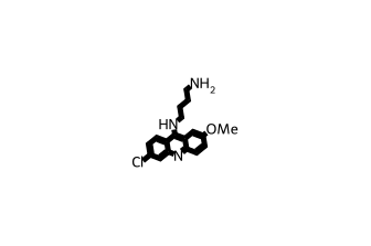 COc1ccc2nc3cc(Cl)ccc3c(NCCCCN)c2c1